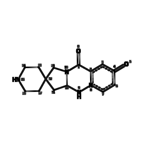 O=C1c2cc(=O)ccn2NC2CC3(CCNCC3)CN12